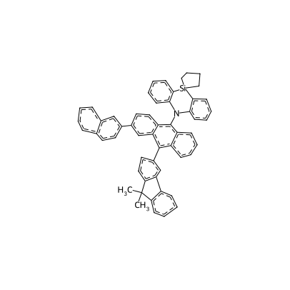 CC1(C)c2ccccc2-c2cc(-c3c4ccccc4c(N4c5ccccc5[Si]5(CCCC5)c5ccccc54)c4ccc(-c5ccc6ccccc6c5)cc34)ccc21